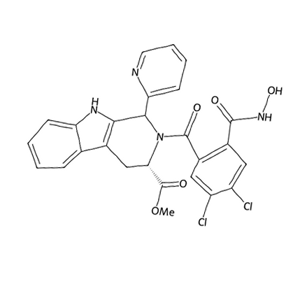 COC(=O)[C@@H]1Cc2c([nH]c3ccccc23)C(c2ccccn2)N1C(=O)c1cc(Cl)c(Cl)cc1C(=O)NO